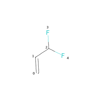 [CH]=CC(F)F